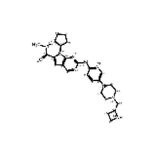 CN(C)C(=O)c1cc2cnc(Nc3ccc(N4CCN(C[C@@H]5CCN5)CC4)cn3)nc2n1C1CCCC1